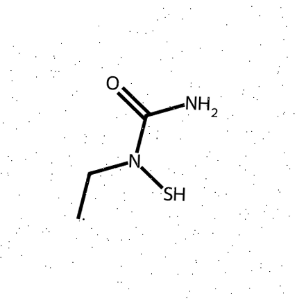 [CH2]CN(S)C(N)=O